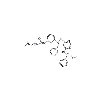 COC[C@@H](Nc1ncnc2oc(-c3cccc(NC(=O)/C=C/CN(C)C)c3)c(-c3ccccc3)c12)c1ccccc1